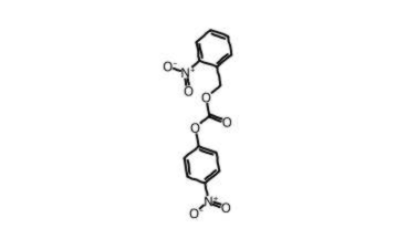 O=C(OCc1ccccc1[N+](=O)[O-])Oc1ccc([N+](=O)[O-])cc1